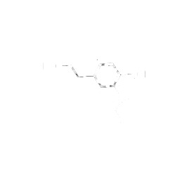 CC=Cc1ccc(O)c(OCC)c1